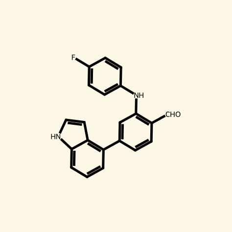 O=Cc1ccc(-c2cccc3[nH]ccc23)cc1Nc1ccc(F)cc1